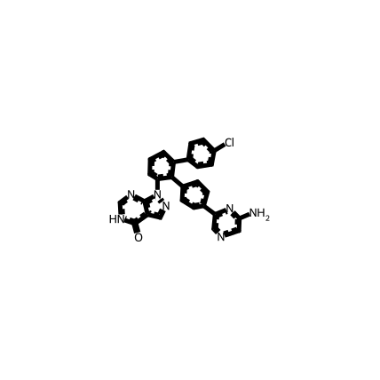 Nc1cncc(-c2ccc(-c3c(-c4ccc(Cl)cc4)cccc3-n3ncc4c(=O)[nH]cnc43)cc2)n1